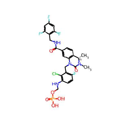 C[C@H]1c2ccc(C(=O)NCc3c(F)cc(F)cc3F)cc2N(Cc2c(F)ccc(NCOP(=O)(O)O)c2Cl)C(=O)N1C